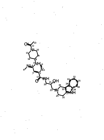 C=N/C(=C\C(=N/C)NC1CCN(C(C)=O)CC1)C(=O)NCC(O)CN1CCc2[nH]c3ccccc3c2C1